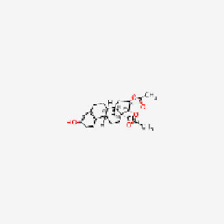 CC(=O)O[C@@H]1C[C@H]2[C@@H]3CCc4cc(O)ccc4[C@H]3CC[C@]2(C)[C@H]1OC(C)=O